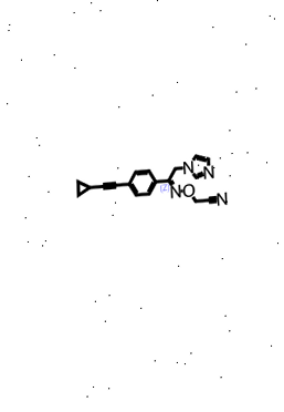 N#CCO/N=C(\Cn1ccnc1)c1ccc(C#CC2CC2)cc1